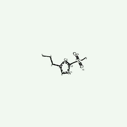 CCCc1cnc(S(C)(=O)=O)s1